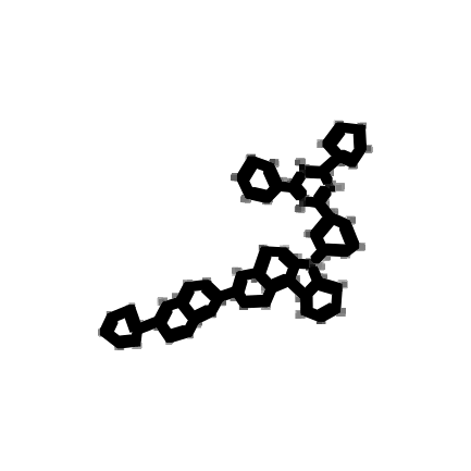 c1ccc(-c2ccc3cc(-c4ccc5c(ccc6c5c5ccccc5n6-c5cccc(-c6nc(-c7ccccc7)nc(-c7ccccc7)n6)c5)c4)ccc3c2)cc1